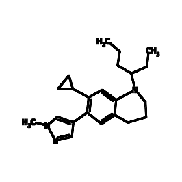 CCCC(CC)N1CCCc2cc(-c3cnn(C)c3)c(C3CC3)cc21